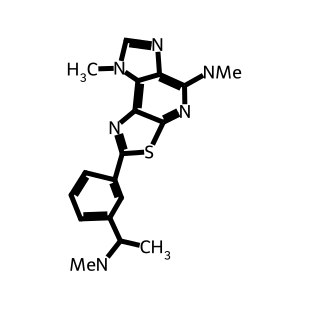 CNc1nc2sc(-c3cccc(C(C)NC)c3)nc2c2c1ncn2C